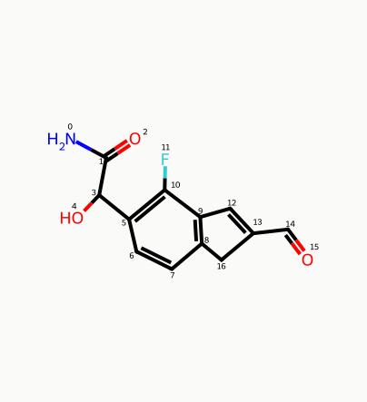 NC(=O)C(O)c1ccc2c(c1F)C=C(C=O)C2